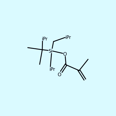 C=C(C)C(=O)O[Si](CC(C)C)(C(C)C)C(C)(C)C(C)C